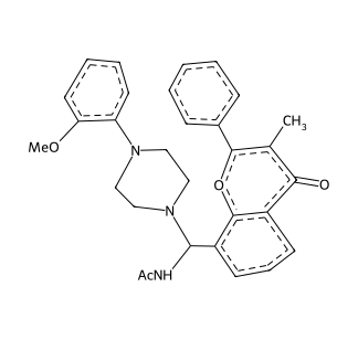 COc1ccccc1N1CCN(C(NC(C)=O)c2cccc3c(=O)c(C)c(-c4ccccc4)oc23)CC1